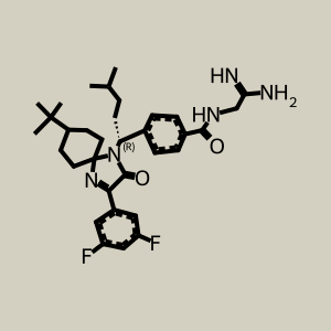 CC(C)CC[C@H](c1ccc(C(=O)NCC(=N)N)cc1)N1C(=O)C(c2cc(F)cc(F)c2)=NC12CCC(C(C)(C)C)CC2